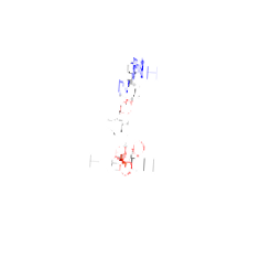 CC(C(=O)CCc1cccc(COC2C=CC(c3ccn[nH]3)=NC2)c1)S(C)(=O)=O